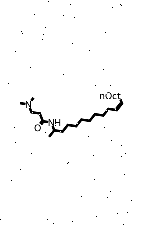 CCCCCCCC/C=C\CCCCCCCCC(C)NC(=O)CCN(C)C